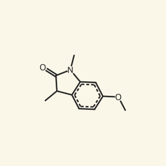 COc1ccc2c(c1)N(C)C(=O)C2C